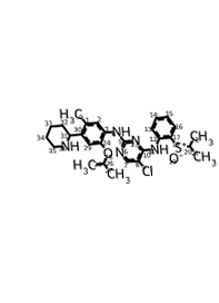 Cc1cc(Nc2ncc(Cl)c(Nc3ccccc3[S+]([O-])C(C)C)n2)c(OC(C)C)cc1C1CCCCN1